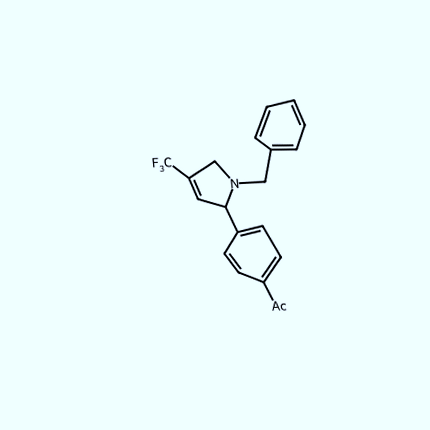 CC(=O)c1ccc(C2C=C(C(F)(F)F)CN2Cc2ccccc2)cc1